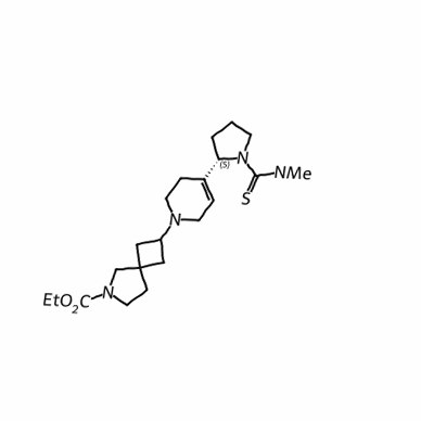 CCOC(=O)N1CCC2(CC(N3CC=C([C@@H]4CCCN4C(=S)NC)CC3)C2)C1